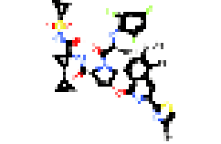 COc1ccc2c(O[C@@H]3C[C@@H](C(=O)N[C@]4(C(=O)NS(=O)(=O)C5CC5)C[C@H]4C4CC4)N(C(=O)[C@@H](Nc4c(F)cc(F)cc4F)C(C)(C)C)C3)nc(-c3nc(C(C)C)cs3)cc2c1C